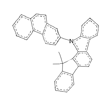 CC1(C)c2ccccc2-c2ccc3c4ccccc4n(-c4ccc5c(ccc6ccccc65)c4)c3c21